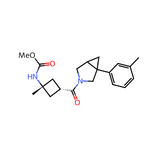 COC(=O)N[C@]1(C)C[C@H](C(=O)N2CC3CC3(c3cccc(C)c3)C2)C1